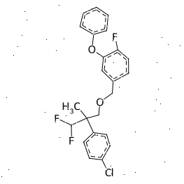 CC(COCc1ccc(F)c(Oc2ccccc2)c1)(c1ccc(Cl)cc1)C(F)F